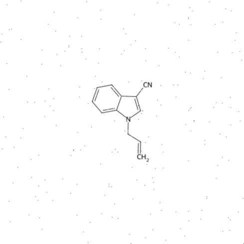 C=CCn1[c]c(C#N)c2ccccc21